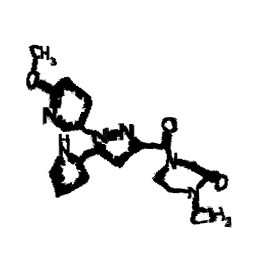 COc1ccc(-n2nc(C(=O)N3CCN(C)C(=O)C3)cc2-c2ccc[nH]2)cn1